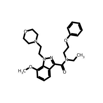 CCN(CCOc1ccccc1)C(=O)c1nn(CCN2CCOCC2)c2c(OC)cccc12